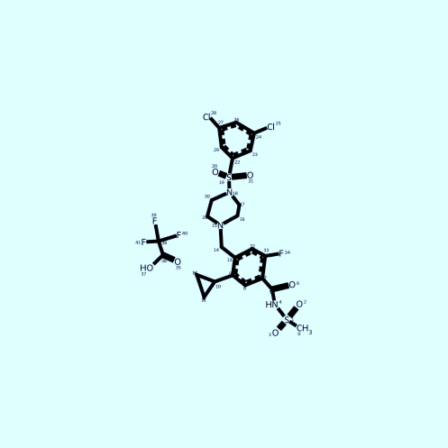 CS(=O)(=O)NC(=O)c1cc(C2CC2)c(CN2CCN(S(=O)(=O)c3cc(Cl)cc(Cl)c3)CC2)cc1F.O=C(O)C(F)(F)F